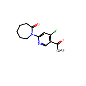 COC(=O)c1cnc(N2CCCCCC2=O)cc1F